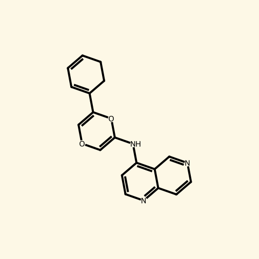 C1=CCCC(C2=COC=C(Nc3ccnc4ccncc34)O2)=C1